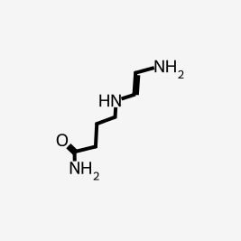 NC=CNCCCC(N)=O